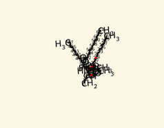 C=CCO[C@@H]1O[C@@H]2COC(C)(C)O[C@H]2[C@H](OC(=O)CCCCCCCCCCCCC)[C@H]1NC(=O)[C@@H](F)[C@@H](CCCCCCCCCCC)OC(=O)CCCCCCCCCCCCC